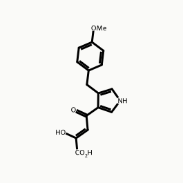 COc1ccc(Cc2c[nH]cc2C(=O)C=C(O)C(=O)O)cc1